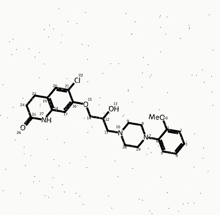 COc1ccccc1N1CCN(CC(O)COc2cc3c(cc2Cl)CCC(=O)N3)CC1